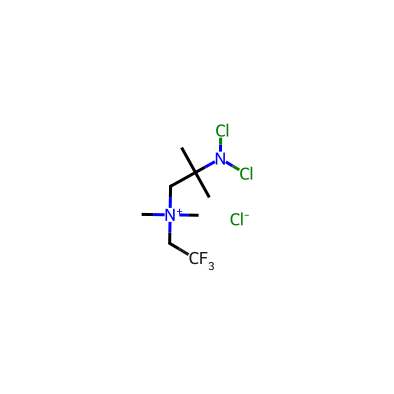 CC(C)(C[N+](C)(C)CC(F)(F)F)N(Cl)Cl.[Cl-]